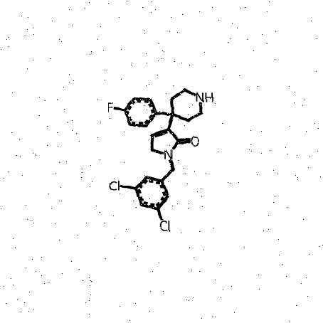 O=C1C(C2(c3ccc(F)cc3)CCNCC2)=CCN1Cc1cc(Cl)cc(Cl)c1